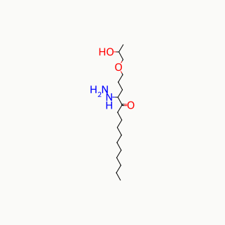 CCCCCCCCCCC(=O)C(CCCOCC(C)O)NN